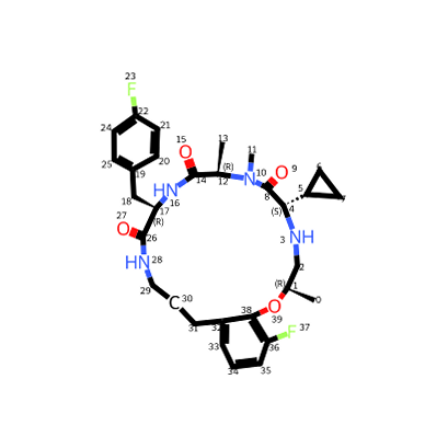 C[C@@H]1CN[C@@H](C2CC2)C(=O)N(C)[C@H](C)C(=O)N[C@H](Cc2ccc(F)cc2)C(=O)NCCCc2cccc(F)c2O1